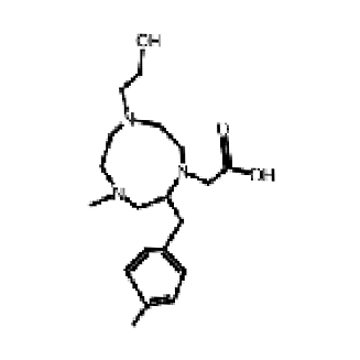 Cc1ccc(CC2CN(C)CCN(CCO)CCN2CC(=O)O)cc1